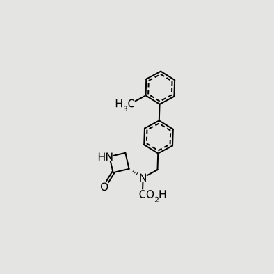 Cc1ccccc1-c1ccc(CN(C(=O)O)[C@H]2CNC2=O)cc1